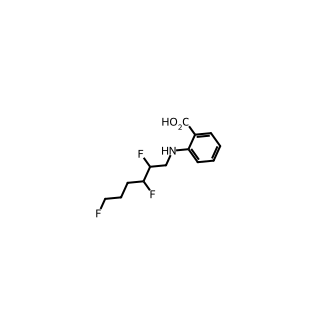 O=C(O)c1ccccc1NCC(F)C(F)CCCF